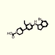 CCc1nc(NC2CCc3cccc(Br)c32)ccc1C1=CCN(C(=O)O)CC1